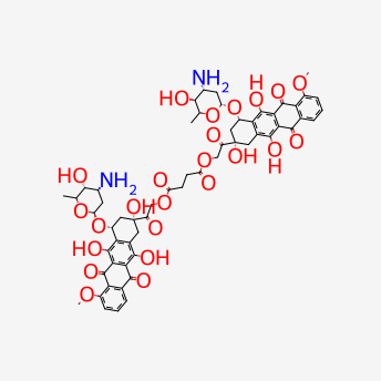 COc1cccc2c1C(=O)c1c(O)c3c(c(O)c1C2=O)C[C@@](O)(C(=O)COC(=O)CCC(=O)OCC(=O)[C@@]1(O)Cc2c(O)c4c(c(O)c2[C@H](O[C@@H]2C[C@H](N)[C@@H](O)C(C)O2)C1)C(=O)c1c(OC)cccc1C4=O)C[C@@H]3O[C@H]1C[C@@H](N)[C@H](O)C(C)O1